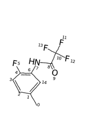 Cc1ccc(F)c(NC(=O)C(F)(F)F)c1